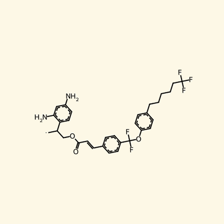 [CH2]C(COC(=O)/C=C/c1ccc(C(F)(F)Oc2ccc(CCCCCC(F)(F)F)cc2)cc1)c1ccc(N)cc1N